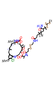 CCSC(=S)SC(C)(C)C(CC(C)(C)C(C)(C#N)CCC(=O)NCCSSCCC(=O)N(C)C(C)C(=O)OC1CC(=O)N(C)c2cc(cc(OC)c2Cl)C/C(C)=C/C=C/[C@@H](OC)[C@@]2(O)CC(OC(=O)N2)C(C)[C@@H]2O[C@@]12C)C(N)=O